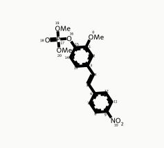 COc1cc(C=Cc2ccc([N+](=O)[O-])cc2)ccc1OP(=O)(OC)OC